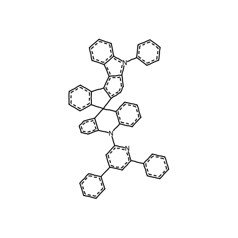 c1ccc(-c2cc(-c3ccccc3)nc(N3c4ccccc4C4(c5ccccc5-c5c4ccc4c5c5ccccc5n4-c4ccccc4)c4ccccc43)c2)cc1